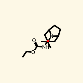 CCOC(=O)NC1CC2CCC(C1)N2C(C)C